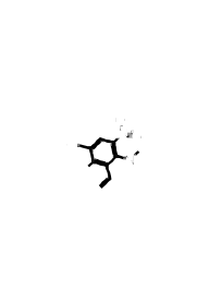 C=Cc1c(F)c(Cl)cc([N+](=O)[O-])c1NC